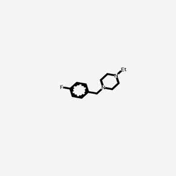 [CH2]CN1CCN(Cc2ccc(F)cc2)CC1